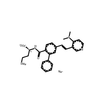 CSCC[C@H](NC(=O)c1ccc(C=Cc2cnccc2N(C)C)cc1-c1ccccc1)C(=O)[O-].[Na+]